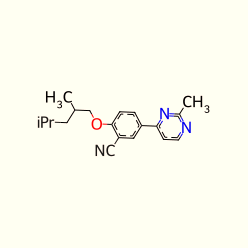 Cc1nccc(-c2ccc(OCC(C)CC(C)C)c(C#N)c2)n1